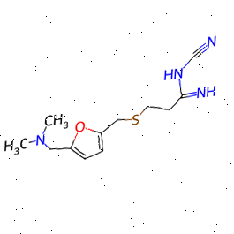 CN(C)Cc1ccc(CSCCC(=N)NC#N)o1